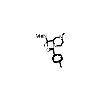 CNC(=O)C1CN(C)CCN1C(=O)c1ccc(C)cc1